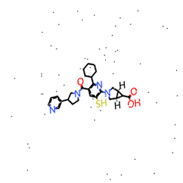 O=C(O)C1[C@H]2CN(c3nc(C4CCCCC4)c(C(=O)N4CCC(c5cccnc5)C4)cc3S)C[C@@H]12